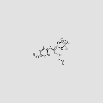 C=CCOCC(=Cc1ccc(OC)cc1)B1OC(C)(C)C(C)(C)O1